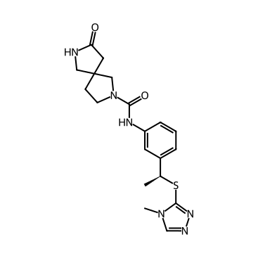 C[C@H](Sc1nncn1C)c1cccc(NC(=O)N2CCC3(CNC(=O)C3)C2)c1